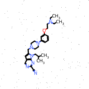 CCN(CC)CCOc1cccc(N2CCN(Cc3cc4cnc(C#N)nc4n3CC(C)C)CC2)c1